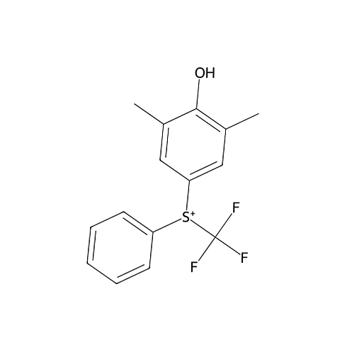 Cc1cc([S+](c2ccccc2)C(F)(F)F)cc(C)c1O